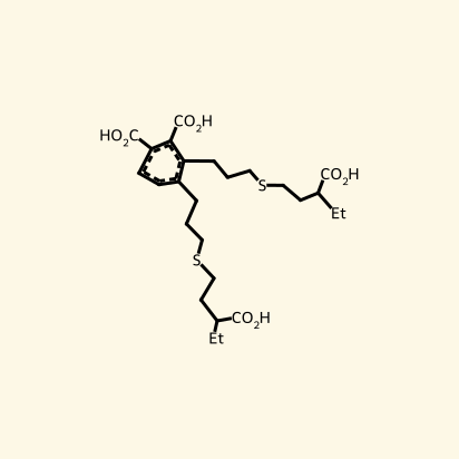 CCC(CCSCCCc1ccc(C(=O)O)c(C(=O)O)c1CCCSCCC(CC)C(=O)O)C(=O)O